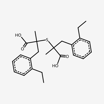 CCc1ccccc1CC(C)(SC(C)(Cc1ccccc1CC)C(=O)O)C(=O)O